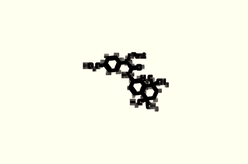 CCCCCN(C(=O)Nc1ccc2c(c1)C(C)(C)CCC2(C)C)c1ccc(C(=O)O)cc1